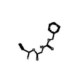 C#CC(I)OC(=O)CNC(=O)OCc1ccccc1